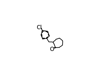 O=C1CCCCCC1Cc1ccc(Cl)cc1